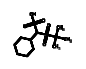 CC(C)(C)S(=O)(=O)C(C1CCCCC1)S(=O)(=O)O